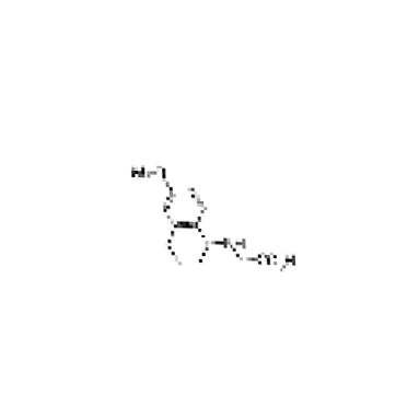 COc1ccc2c(c1)CCCC2NCC(=O)O